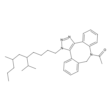 CCCC(C)CC(CCCCn1nnc2c1-c1ccccc1CN(C(C)=O)c1ccccc1-2)C(C)C